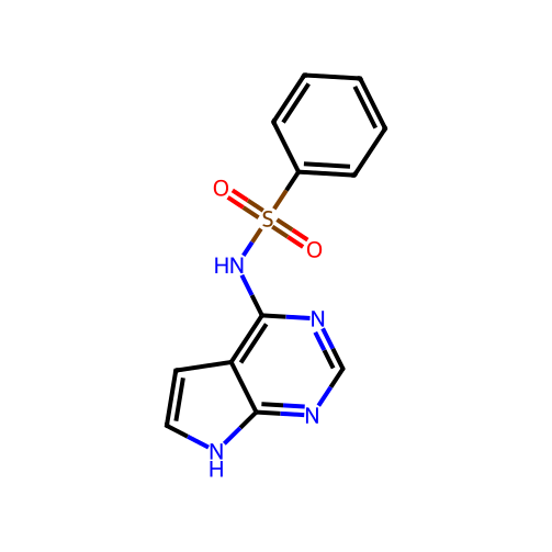 O=S(=O)(Nc1ncnc2[nH]ccc12)c1ccccc1